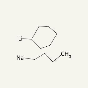 CCC[CH2][Na].[Li][CH]1CCCCC1